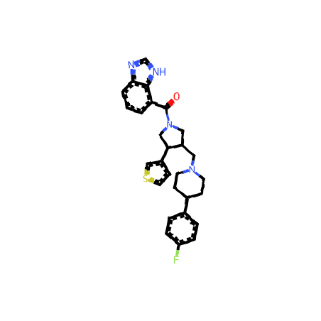 O=C(c1cccc2nc[nH]c12)N1CC(CN2CCC(c3ccc(F)cc3)CC2)C(c2ccsc2)C1